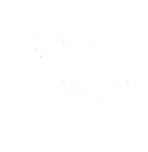 C=C(CCO[Si](C)(C)C(C)(C)C)c1ccc(OC)c2c1OC(C)(C)OC2=O